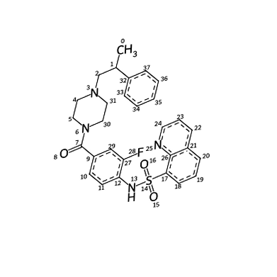 CC(CN1CCN(C(=O)c2ccc(NS(=O)(=O)c3cccc4cccnc34)c(F)c2)CC1)c1ccccc1